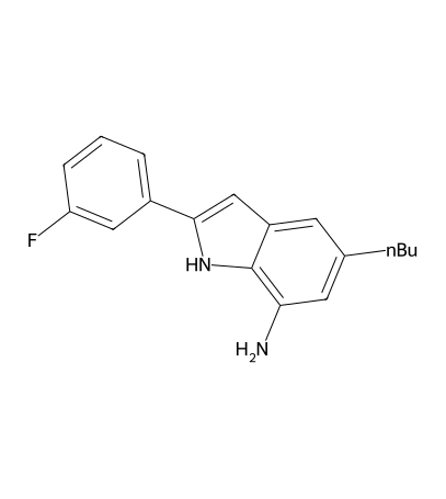 CCCCc1cc(N)c2[nH]c(-c3cccc(F)c3)cc2c1